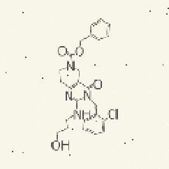 O=C(OCc1ccccc1)N1CCc2nc(NCCCO)n(Cc3ccccc3Cl)c(=O)c2C1